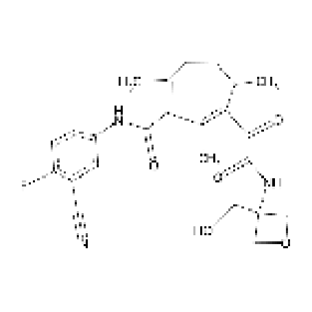 CC1=C(C(=O)Nc2ccc(F)c(C#N)c2)C(C)=C(C(=O)C(=O)NC2(CO)COC2)C(C)CC1